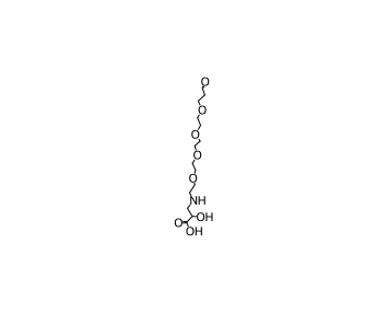 O=CCCOCCOCCOCCOCCNCC(O)C(=O)O